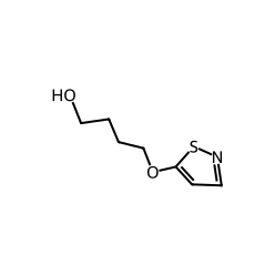 OCCCCOc1ccns1